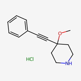 COC1(C#Cc2ccccc2)CCNCC1.Cl